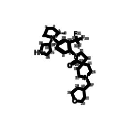 C[C@H]1CCC[N+]1(c1ccc(N2CCC3(CCN(CC4CCOCC4)CC3)C2=O)c(C(F)(F)F)c1)[C@H]1CCNC1